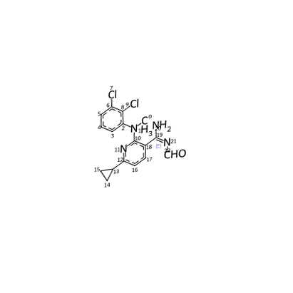 CN(c1cccc(Cl)c1Cl)c1nc(C2CC2)ccc1/C(N)=N\C=O